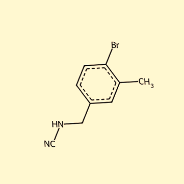 Cc1cc(CNC#N)ccc1Br